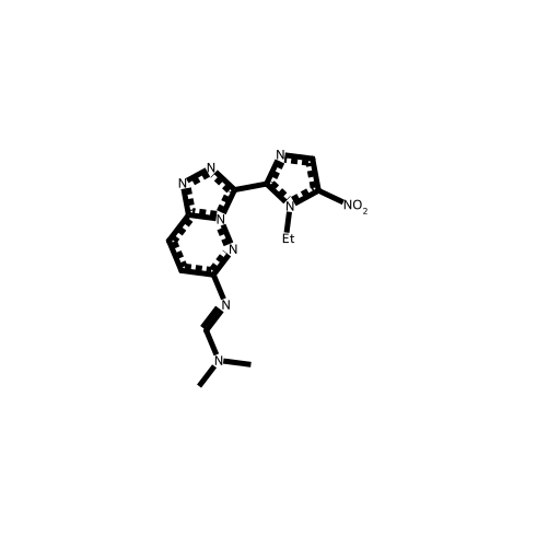 CCn1c([N+](=O)[O-])cnc1-c1nnc2ccc(N=CN(C)C)nn12